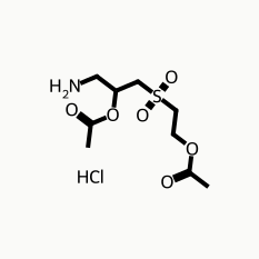 CC(=O)OCCS(=O)(=O)CC(CN)OC(C)=O.Cl